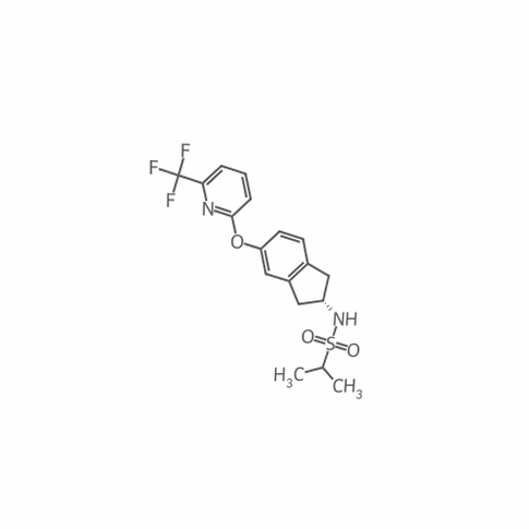 CC(C)S(=O)(=O)N[C@H]1Cc2ccc(Oc3cccc(C(F)(F)F)n3)cc2C1